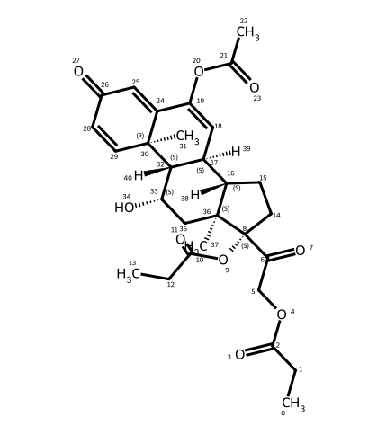 CCC(=O)OCC(=O)[C@]1(OC(=O)CC)CC[C@H]2[C@@H]3C=C(OC(C)=O)C4=CC(=O)C=C[C@]4(C)[C@H]3[C@@H](O)C[C@@]21C